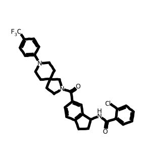 O=C(NC1CCc2ccc(C(=O)N3CCC4(CCN(c5ccc(C(F)(F)F)cc5)CC4)C3)cc21)c1ccccc1Cl